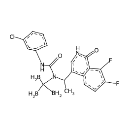 BC(B)(B)N(C(=O)Nc1cccc(Cl)c1)C(C)c1c[nH]c(=O)c2c(F)c(F)ccc12